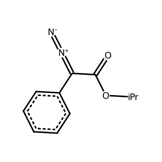 CC(C)OC(=O)C(=[N+]=[N-])c1ccccc1